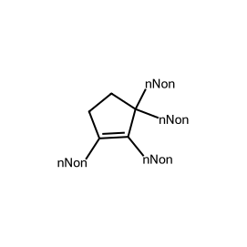 CCCCCCCCCC1=C(CCCCCCCCC)C(CCCCCCCCC)(CCCCCCCCC)CC1